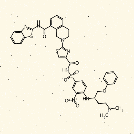 CN(C)CC[C@H](COc1ccccc1)Nc1ccc(S(=O)(=O)NC(=O)c2csc(N3CCc4cccc(C(=O)Nc5nc6ccccc6s5)c4C3)n2)cc1[N+](=O)[O-]